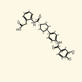 O=C(O)Cc1ccccc1NC(=O)[C@H]1CC[C@H](c2ccc(NC(=O)c3ccc(Cl)c(Cl)c3)cc2)CC1